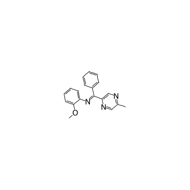 COc1ccccc1N=C(c1ccccc1)c1cnc(C)cn1